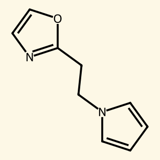 c1ccn(CCc2ncco2)c1